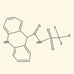 O=C(NS(=O)(=O)C(F)(F)F)C1c2ccccc2Nc2ccccc21